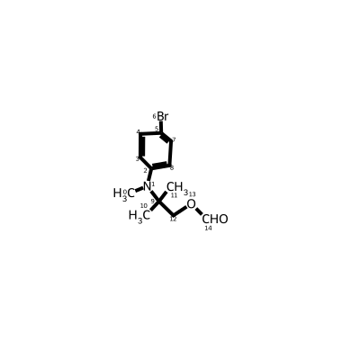 CN(c1ccc(Br)cc1)C(C)(C)COC=O